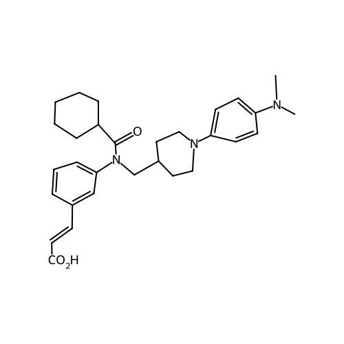 CN(C)c1ccc(N2CCC(CN(C(=O)C3CCCCC3)c3cccc(/C=C/C(=O)O)c3)CC2)cc1